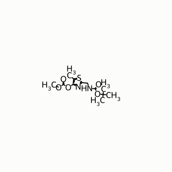 COC(=O)Oc1nc(CNC(=O)OC(C)(C)C)sc1C